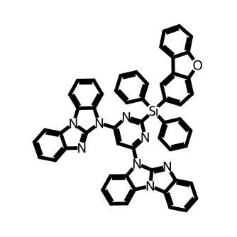 c1ccc([Si](c2ccccc2)(c2ccc3oc4ccccc4c3c2)c2nc(-n3c4ccccc4n4c5ccccc5nc34)cc(-n3c4ccccc4n4c5ccccc5nc34)n2)cc1